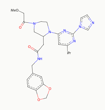 COCC(=O)N1CCN(c2cc(C(C)C)nc(-n3ccnc3)n2)C(CC(=O)NCc2ccc3c(c2)OCO3)C1